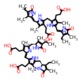 C=CC1=C(C)/C(=C/c2[nH]c(Cc3[nH]c(/C=C4\NC(=O)C(C)=C4C=C)c(C)c3CCC(=O)O)c(CCC(=O)O)c2C)NC1=O.CCC1=C(C)[C@H](CC2=N/C(=C\c3[nH]c(C[C@@H]4NC(=O)C(C)=C4CC)c(C)c3CCC(=O)O)C(CCC(=O)O)=C2C)NC1=O